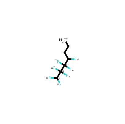 CCCC(F)C(F)(F)C(F)(F)[C](F)F